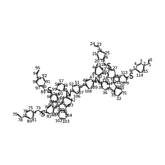 C=Cc1ccc(CSc2ccc(C3(c4ccc(SCc5ccc(C=C)cc5)cc4)c4ccccc4-c4ccc(N(c5ccccc5)c5ccc(-c6ccc(N(c7ccccc7)c7ccc8c(c7)C(c7ccc(SCc9ccc(C=C)cc9)cc7)(c7ccc(SCc9ccc(C=C)cc9)cc7)c7ccccc7-8)cc6)cc5)cc43)cc2)cc1